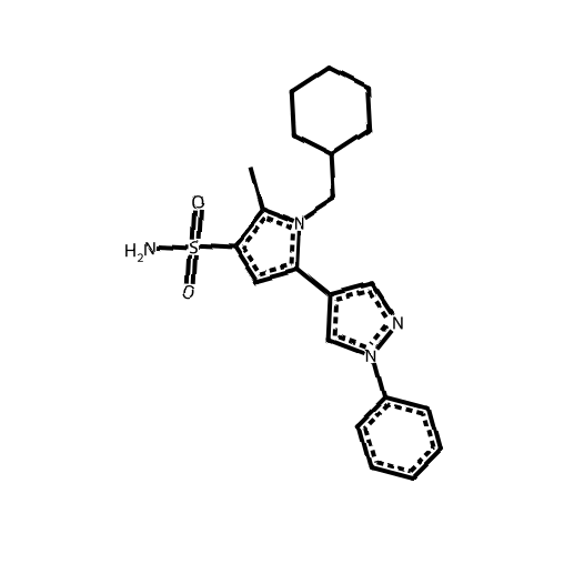 Cc1c(S(N)(=O)=O)cc(-c2cnn(-c3ccccc3)c2)n1CC1CCCCC1